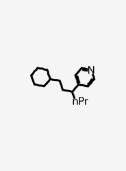 CCCC(CCC1CCCCC1)c1ccncc1